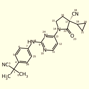 CC(C)(C#N)c1ccc(Nc2nccc(N3CC[C@@](C#N)(C4CC4)C3=O)n2)cc1